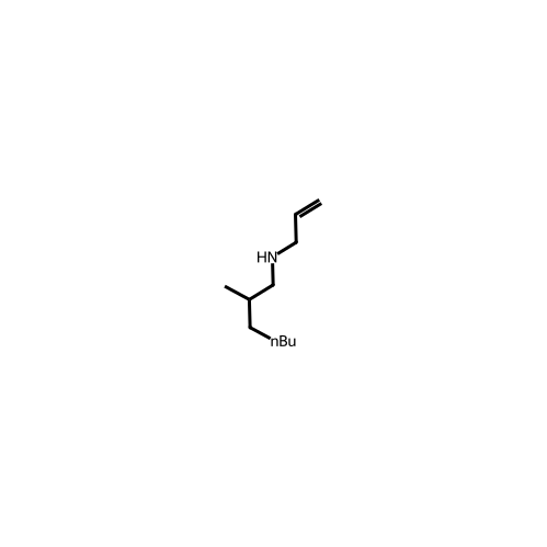 C=CCNCC(C)CCCCC